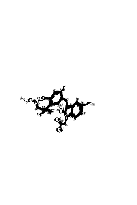 Cc1c(Cc2cc3c(cc2F)SN(C)CC3(F)F)c2cc(F)ccc2n1CC(=O)O